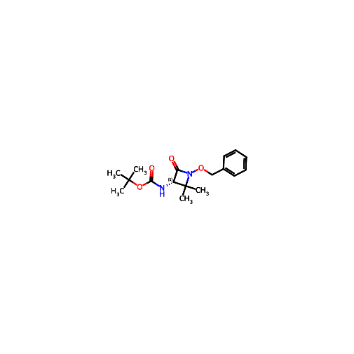 CC(C)(C)OC(=O)N[C@@H]1C(=O)N(OCc2ccccc2)C1(C)C